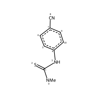 CNC(=S)Nc1ccc(C#N)cc1